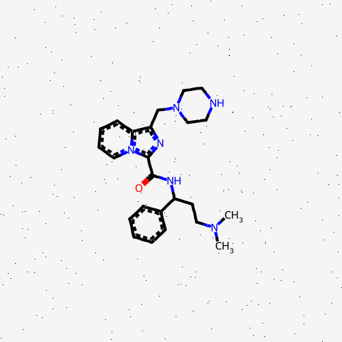 CN(C)CCC(NC(=O)c1nc(CN2CCNCC2)c2ccccn12)c1ccccc1